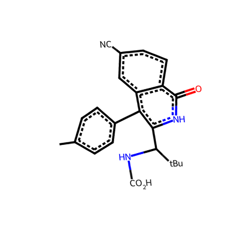 Cc1ccc(-c2c(C(NC(=O)O)C(C)(C)C)[nH]c(=O)c3ccc(C#N)cc23)cc1